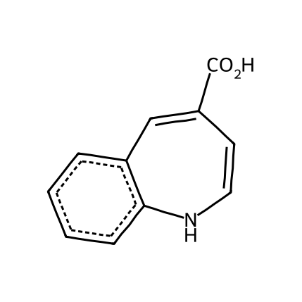 O=C(O)C1=Cc2ccccc2NC=C1